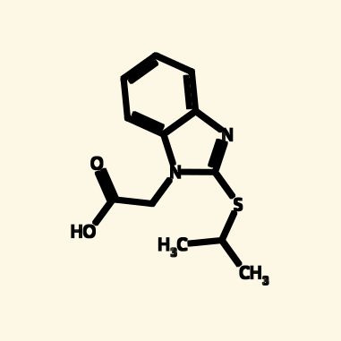 CC(C)Sc1nc2ccccc2n1CC(=O)O